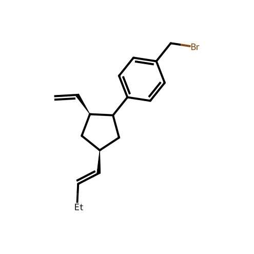 C=C[C@@H]1C[C@H](/C=C/CC)CC1c1ccc(CBr)cc1